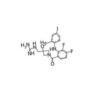 N=C(N)NCC1(O)CN(C(=O)c2ccc(F)c(F)c2Nc2ccc(I)cc2F)C1